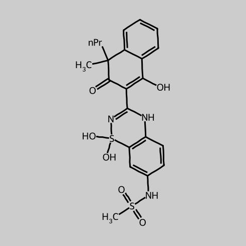 CCCC1(C)C(=O)C(C2=NS(O)(O)c3cc(NS(C)(=O)=O)ccc3N2)=C(O)c2ccccc21